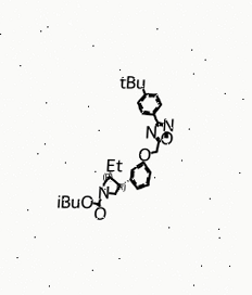 CC[C@H]1CN(C(=O)OCC(C)C)C[C@H]1c1cccc(OCc2nc(-c3ccc(C(C)(C)C)cc3)no2)c1